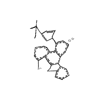 CC(C)(C)C1=CC(c2cccc3c4c(c5[c]([Zr+2])cccc5c23)Cc2ccccc2-4)C=C1.[Cl-].[Cl-]